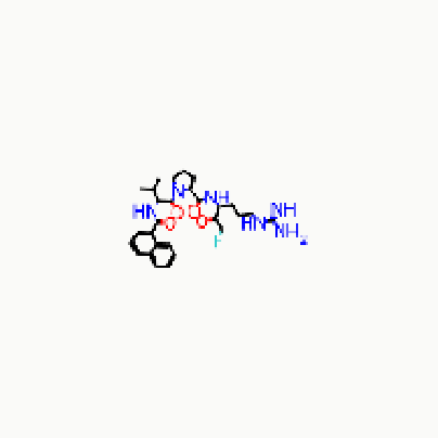 CC(C)[C@H](NC(=O)c1cccc2ccccc12)C(=O)N1CCC[C@H]1C(=O)N[C@@H](CCCNC(=N)N)C(=O)CF